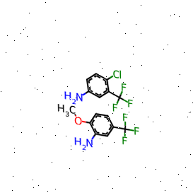 COc1ccc(C(F)(F)F)cc1N.Nc1ccc(Cl)c(C(F)(F)F)c1